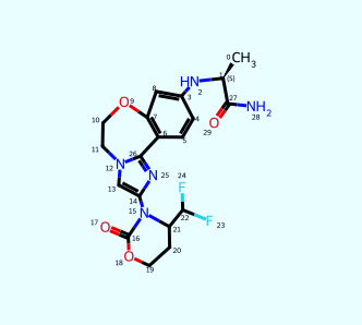 C[C@H](Nc1ccc2c(c1)OCCn1cc(N3C(=O)OCCC3C(F)F)nc1-2)C(N)=O